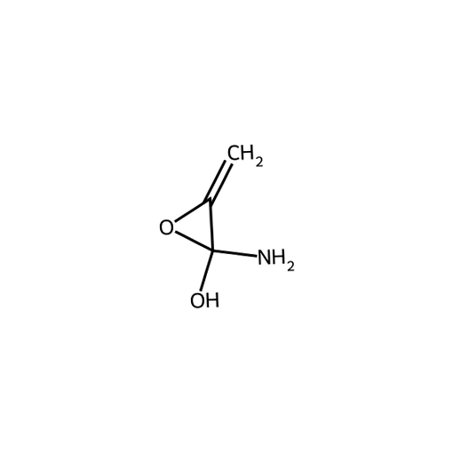 C=C1OC1(N)O